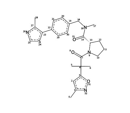 Cc1cc(C(C)(C)C(=O)N2CCC[C@H]2C(=O)N(C)Cc2ccc(-c3scnc3C)cc2)on1